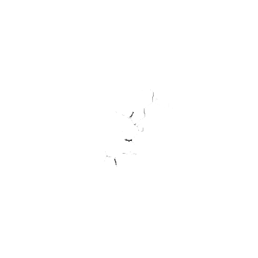 CC[C@@H](C)CC[C@](C)(NC(=O)O[C@H](C)OC(=O)C(C)C)C(=O)O